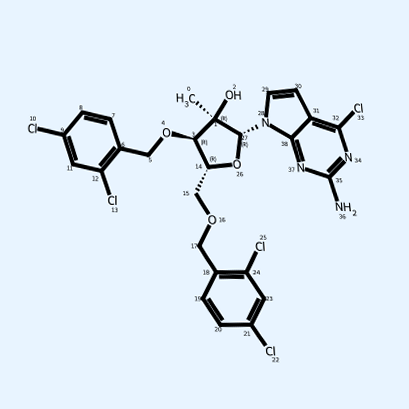 C[C@@]1(O)[C@H](OCc2ccc(Cl)cc2Cl)[C@@H](COCc2ccc(Cl)cc2Cl)O[C@H]1n1ccc2c(Cl)nc(N)nc21